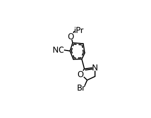 CC(C)Oc1ccc(C2=NCC(Br)O2)cc1C#N